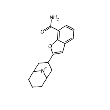 CN1C2CCCC1CC(c1cc3cccc(C(N)=O)c3o1)C2